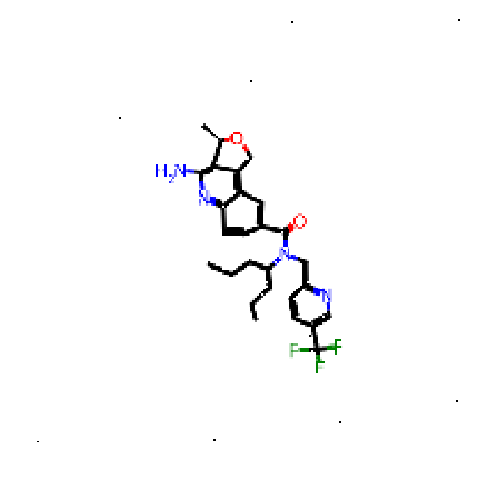 CCCC(CCC)N(Cc1ccc(C(F)(F)F)cn1)C(=O)c1ccc2nc(N)c3c(c2c1)CO[C@@H]3C